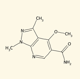 COc1c(C(N)=O)cnc2c1c(C)nn2C